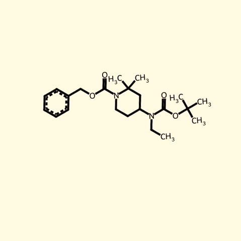 CCN(C(=O)OC(C)(C)C)C1CCN(C(=O)OCc2ccccc2)C(C)(C)C1